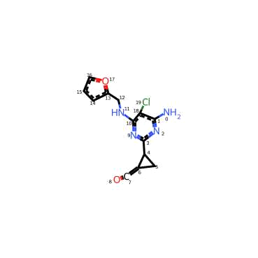 Nc1nc(C2CC2=C=O)nc(NCc2ccco2)c1Cl